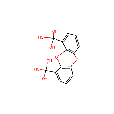 OC(O)(O)c1cccc2c1Oc1c(cccc1C(O)(O)O)O2